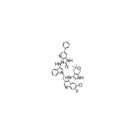 CC1(C)Cc2c(Nc3c(CCn4cc(Nn5c(=O)[nH]c6cc(-c7ccccc7)cnc65)c5ccccc54)cnc4cc(F)c(Cl)cc34)c[nH]c2CO1